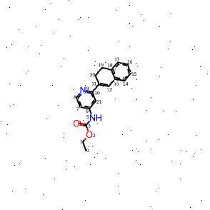 CCOC(=O)Nc1ccnc(C2=Cc3ccccc3CC2)c1